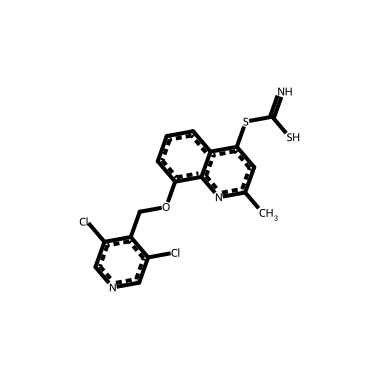 Cc1cc(SC(=N)S)c2cccc(OCc3c(Cl)cncc3Cl)c2n1